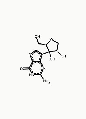 Nc1nc2c(ncn2[C@@]2(O)[C@@H](O)CO[C@@H]2CO)c(=O)[nH]1